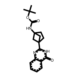 CC(C)(C)OC(=O)NC12CCC(c3nc4ccccc4c(=O)[nH]3)(C1)C2